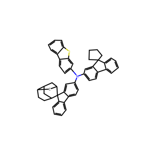 c1ccc2c(c1)-c1ccc(N(c3ccc4c(c3)C3(c5ccccc5-4)C4CCC5CC3CC5C4)c3ccc4c(c3)sc3ccccc34)cc1C21CCCC1